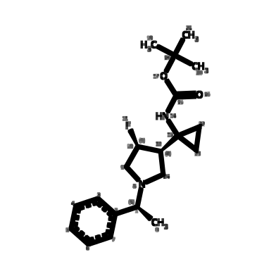 C[C@@H](c1ccccc1)N1C[C@@H](F)[C@@H](C2(NC(=O)OC(C)(C)C)CC2)C1